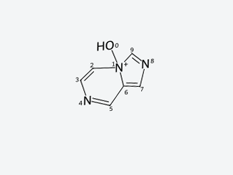 O[N+]12C=CN=CC1=CN=C2